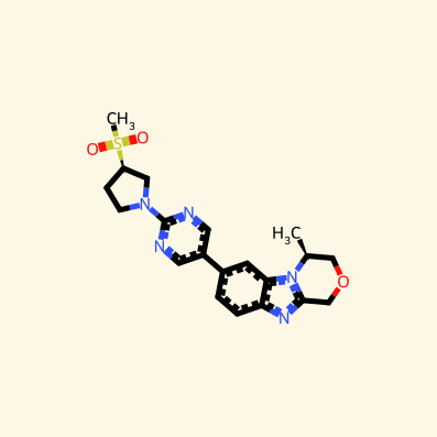 C[C@H]1COCc2nc3ccc(-c4cnc(N5CC[C@@H](S(C)(=O)=O)C5)nc4)cc3n21